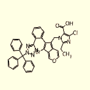 CCc1nc(Cl)c(C(=O)O)n1Cc1c2ccocc-2c(Br)c1-c1ccccc1-c1nnn(C(c2ccccc2)(c2ccccc2)c2ccccc2)n1